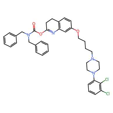 O=C(OC1=Nc2cc(OCCCCN3CCN(c4cccc(Cl)c4Cl)CC3)ccc2CC1)N(Cc1ccccc1)Cc1ccccc1